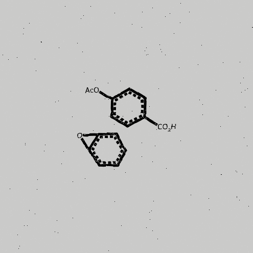 CC(=O)Oc1ccc(C(=O)O)cc1.c1ccc2c(c1)O2